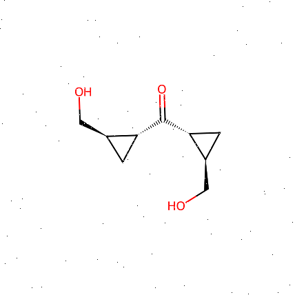 O=C([C@@H]1C[C@H]1CO)[C@@H]1C[C@H]1CO